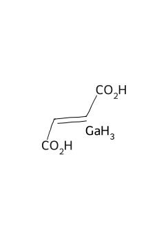 O=C(O)C=CC(=O)O.[GaH3]